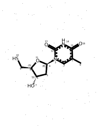 Cc1cn([C@H]2C[C@H](O)[C@@H](CS)O2)c(=O)[nH]c1=O